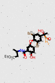 CCOC(=O)CC(C)NC(=O)c1cc(Oc2c(Br)cc(C(C)(O)[PH2]=O)cc2Br)ccc1O